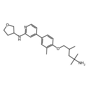 Cc1cc(-c2ccnc(NC3CCOC3)c2)ccc1OCC(C)CC(C)(C)N